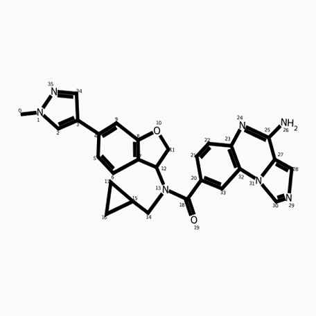 Cn1cc(-c2ccc3c(c2)OCC3N(CC2CC2)C(=O)c2ccc3nc(N)c4cncn4c3c2)cn1